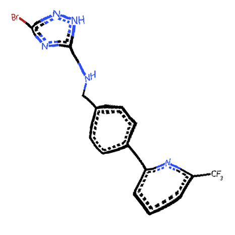 FC(F)(F)c1cccc(-c2ccc(CNc3nc(Br)n[nH]3)cc2)n1